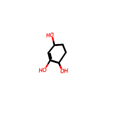 OC1=CC(O)CCC1O